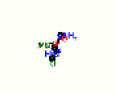 COc1cc2c(Nc3ccc(Cl)cc3F)ncnc2cc1OCCCN1CCC[C@H]1C(N)=O.Cl